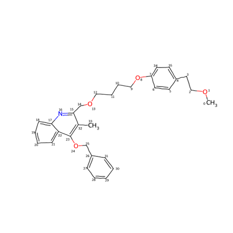 COCCc1ccc(OCCCCOCc2nc3ccccc3c(OCc3ccccc3)c2C)cc1